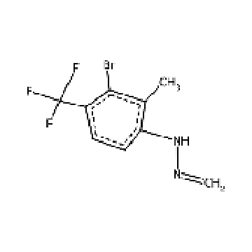 C=NNc1ccc(C(F)(F)F)c(Br)c1C